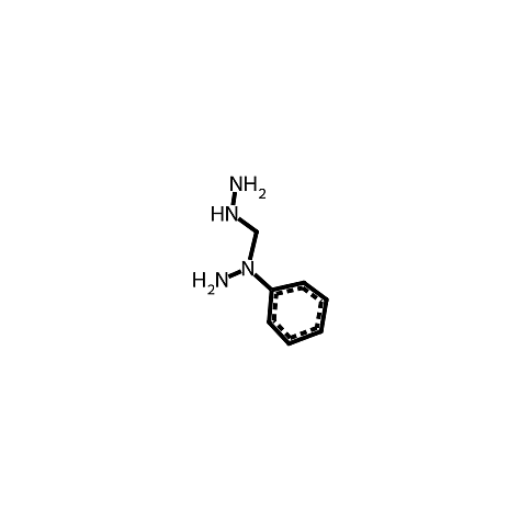 NNCN(N)c1ccccc1